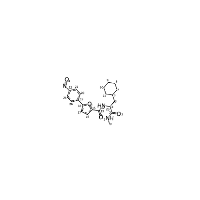 CNC(=O)[C@H](CC1CCCCC1)NC(=O)c1ccc(-c2ccc(N=O)cc2)o1